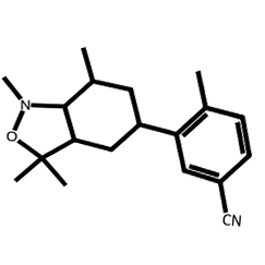 Cc1ccc(C#N)cc1C1CC(C)C2C(C1)C(C)(C)ON2C